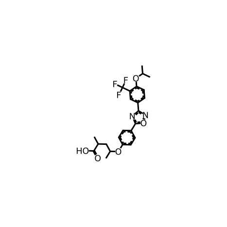 CC(C)Oc1ccc(-c2noc(-c3ccc(OC(C)CC(C)C(=O)O)cc3)n2)cc1C(F)(F)F